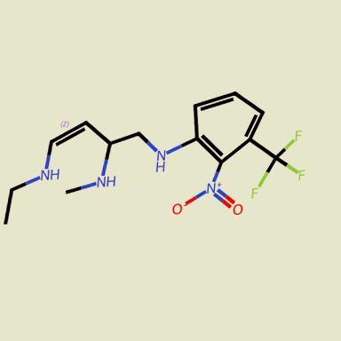 CCN/C=C\C(CNc1cccc(C(F)(F)F)c1[N+](=O)[O-])NC